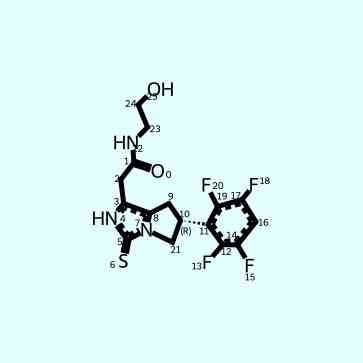 O=C(Cc1[nH]c(=S)n2c1C[C@H](c1c(F)c(F)cc(F)c1F)C2)NCCO